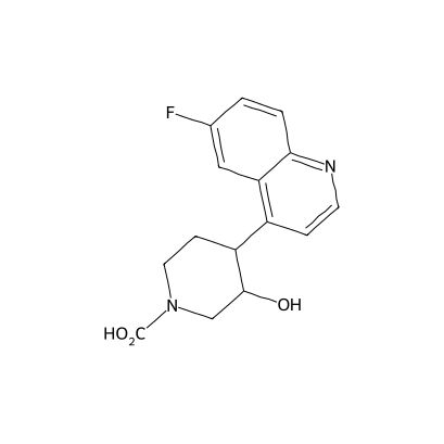 O=C(O)N1CCC(c2ccnc3ccc(F)cc23)C(O)C1